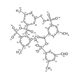 Cc1cc(C(=O)OS(=O)(=O)c2cc(C)cc(C=O)c2)cc(S(=O)(=O)OCc2cc(C)cc(S(=O)(=O)OS(=O)(=O)c3cc(C)cc(C)c3)c2)c1